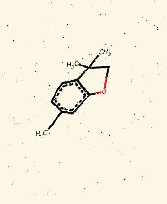 Cc1ccc2c(c1)OCC2(C)C